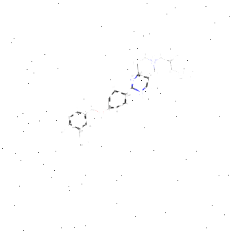 Cc1ccc(COc2ccc(-c3ncc4c(n3)CCN(CC(C)CC(=O)O)C4)cc2)cc1C(F)(F)F